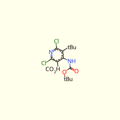 CC(C)(C)OC(=O)Nc1c(C(=O)O)c(Cl)nc(Cl)c1C(C)(C)C